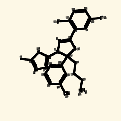 Cc1nnc(N2N=C(c3cc(F)ccc3F)SC2(CCCN)c2cccc(C#N)c2)s1